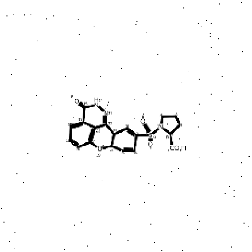 O=C(O)[C@@H]1CCCN1S(=O)(=O)C1=CC2c3n[nH]c(=O)c4cccc(c34)OC2C=C1